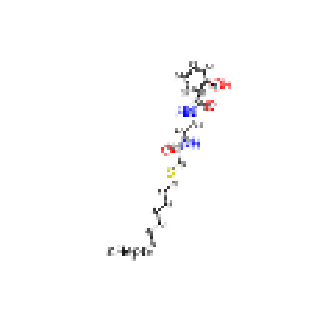 CCCCCCCC=CCCCCCSCC(=O)NCCNC(=O)c1ccccc1O